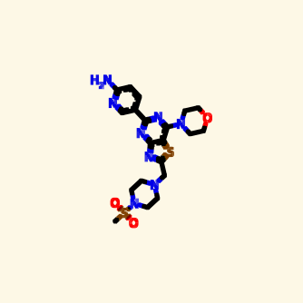 CS(=O)(=O)N1CCN(Cc2nc3nc(-c4ccc(N)nc4)nc(N4CCOCC4)c3s2)CC1